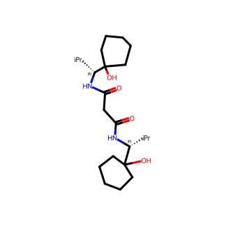 CC(C)[C@@H](NC(=O)CC(=O)N[C@H](C(C)C)C1(O)CCCCC1)C1(O)CCCCC1